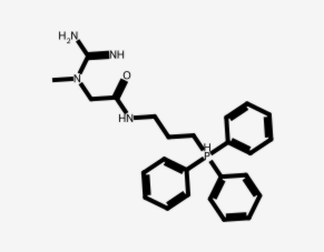 CN(CC(=O)NCCC[PH](c1ccccc1)(c1ccccc1)c1ccccc1)C(=N)N